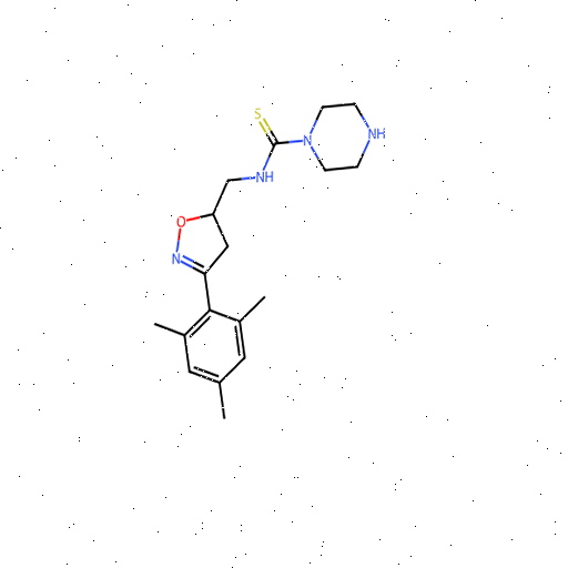 Cc1cc(C)c(C2=NOC(CNC(=S)N3CCNCC3)C2)c(C)c1